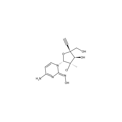 C#C[C@]1(CO)O[C@@H](n2ccc(N)n/c2=N\O)[C@](C)(Cl)[C@@H]1O